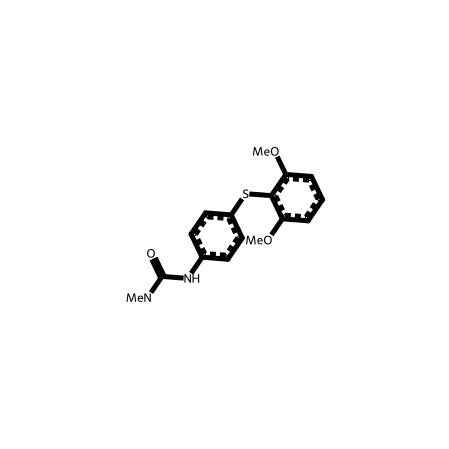 CNC(=O)Nc1ccc(Sc2c(OC)cccc2OC)cc1